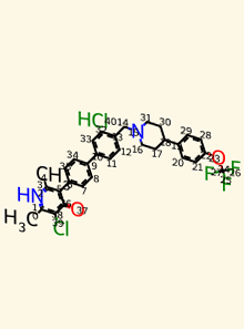 Cc1[nH]c(C)c(-c2ccc(-c3ccc(CN4CCC(c5ccc(OC(F)(F)F)cc5)CC4)cc3)cc2)c(=O)c1Cl.Cl